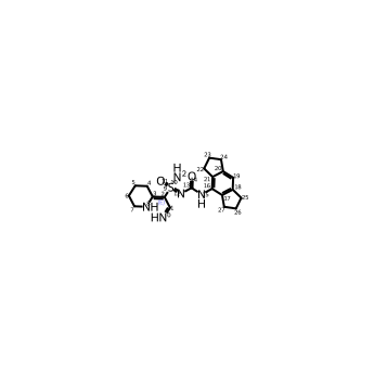 N=C/C(=C1/CCCCN1)S(N)(=O)=NC(=O)Nc1c2c(cc3c1CCC3)CCC2